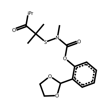 CC(C)C(=O)C(C)(C)SN(C)C(=O)Oc1ccccc1C1OCCO1